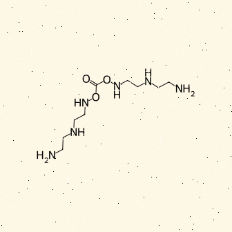 NCCNCCNOC(=O)ONCCNCCN